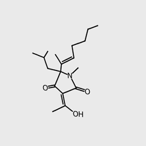 CCCCC=C(C)C1(CC(C)C)C(=O)C(=C(C)O)C(=O)N1C